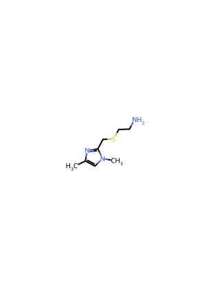 Cc1cn(C)c(CSCCN)n1